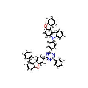 c1ccc(-c2nc(-c3ccc(-n4c5ccccc5c5c6c(ccc54)oc4ccccc46)cc3)nc(-c3ccc4c(c3)oc3cccc(-c5ccccc5)c34)n2)cc1